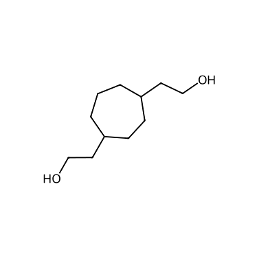 OCCC1CCCC(CCO)CC1